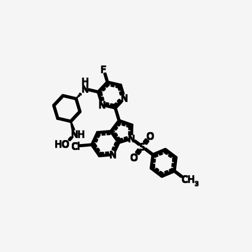 Cc1ccc(S(=O)(=O)n2cc(-c3ncc(F)c(N[C@H]4CCC[C@H](NO)C4)n3)c3cc(Cl)cnc32)cc1